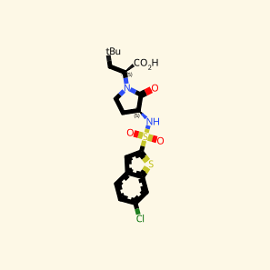 CC(C)(C)C[C@@H](C(=O)O)N1CC[C@H](NS(=O)(=O)c2cc3ccc(Cl)cc3s2)C1=O